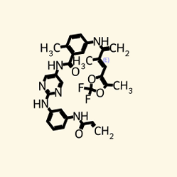 C=CC(=O)Nc1cccc(Nc2ncc(NC(=O)c3cc(NC(=C)/C(C)=C/C4=C(C)OC(F)(F)O4)ccc3C)cn2)c1